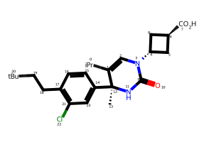 CC(C)C1=CN([C@H]2C[C@H](C(=O)O)C2)C(=O)N[C@@]1(C)c1ccc(CCC(C)(C)C)c(Cl)c1